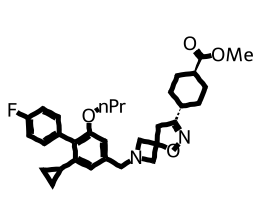 CCCOc1cc(CN2CC3(CC([C@H]4CC[C@H](C(=O)OC)CC4)=NO3)C2)cc(C2CC2)c1-c1ccc(F)cc1